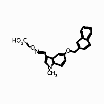 Cn1cc(C=NOCC(=O)O)c2cc(OCc3ccc4ccccc4c3)ccc21